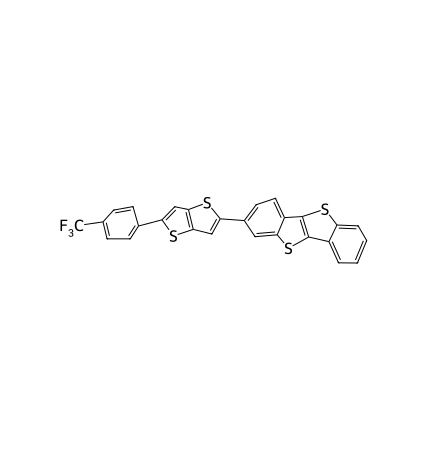 FC(F)(F)c1ccc(-c2cc3sc(-c4ccc5c(c4)sc4c6ccccc6sc54)cc3s2)cc1